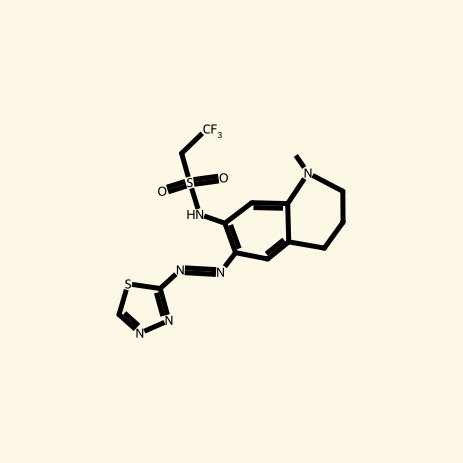 CN1CCCc2cc(N=Nc3nncs3)c(NS(=O)(=O)CC(F)(F)F)cc21